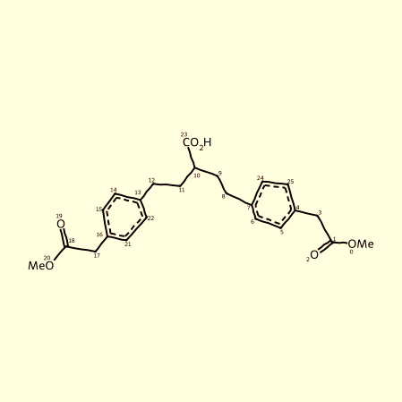 COC(=O)Cc1ccc(CCC(CCc2ccc(CC(=O)OC)cc2)C(=O)O)cc1